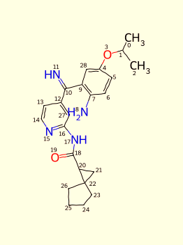 CC(C)Oc1ccc(N)c(C(=N)c2ccnc(NC(=O)C3CC34CCCC4)c2)c1